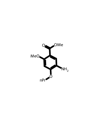 CCCOc1cc(OC)c(C(=O)OC)cc1N